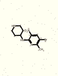 Cc1nc(NC2CCNCC2)c([N+](=O)[O-])cc1Br